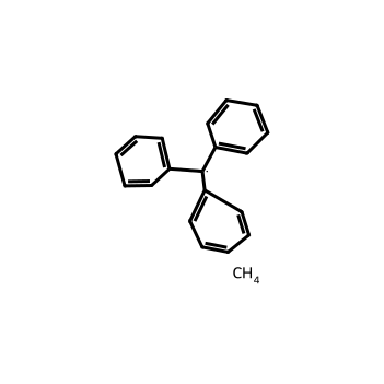 C.c1ccc([C](c2ccccc2)c2ccccc2)cc1